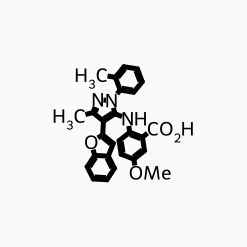 COc1ccc(Nc2c(-c3cc4ccccc4o3)c(C)nn2-c2ccccc2C)c(C(=O)O)c1